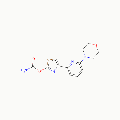 NC(=O)Oc1nc(-c2cccc(N3CCOCC3)n2)cs1